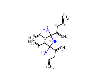 C=CCC(=C)C(N)(CC=C)NC(N)(CC=C)C(=C)CC=C